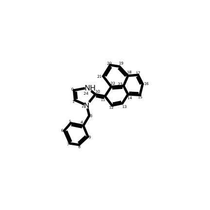 C1=CN(Cc2ccccc2)C(=c2ccc3cccc4cccc2c43)N1